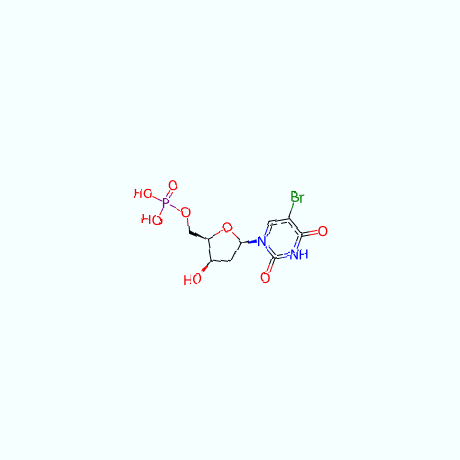 O=c1[nH]c(=O)n([C@H]2C[C@@H](O)[C@@H](COP(=O)(O)O)O2)cc1Br